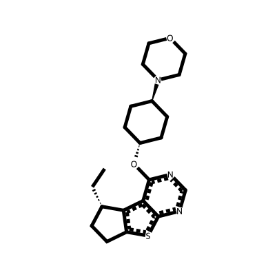 CC[C@H]1CCc2sc3ncnc(O[C@H]4CC[C@H](N5CCOCC5)CC4)c3c21